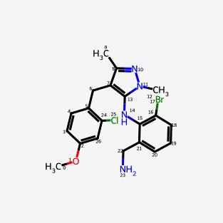 COc1ccc(Cc2c(C)nn(C)c2Nc2c(Br)cccc2CN)c(Cl)c1